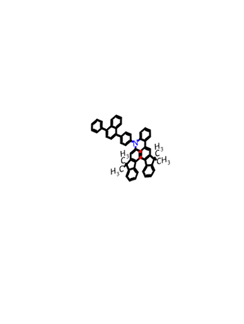 CC1(C)C2=C(CCC(c3ccccc3N(c3c#cc4c(c3)C(C)(C)c3ccccc3-4)c3ccc(-c4ccc(-c5ccccc5)c5ccccc45)cc3)=C2)c2ccccc21